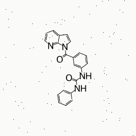 O=C(Nc1ccccc1)Nc1cccc(C(=O)n2ccc3cccnc32)c1